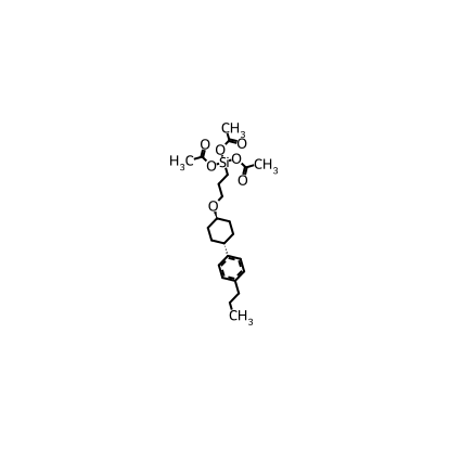 CCCc1ccc([C@H]2CC[C@H](OCCC[Si](OC(C)=O)(OC(C)=O)OC(C)=O)CC2)cc1